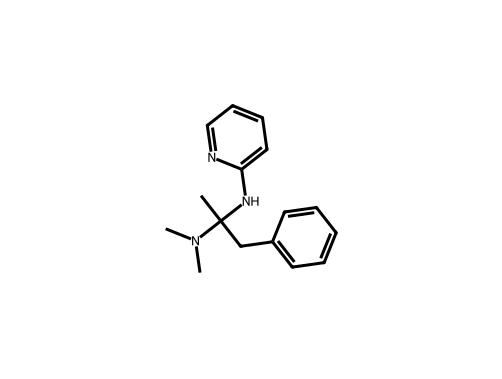 CN(C)C(C)(Cc1ccccc1)Nc1ccccn1